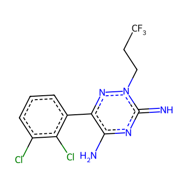 N=c1nc(N)c(-c2cccc(Cl)c2Cl)nn1CCC(F)(F)F